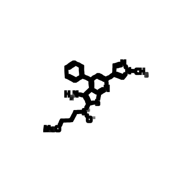 COCCC[S+]([O-])c1sc2nc(-c3cnn(C)c3)cc(-c3ccccc3)c2c1N